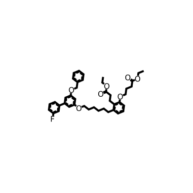 CCOC(=O)CCCOc1cccc(CCCCCCOc2cc(OCc3ccccc3)cc(-c3cccc(F)c3)c2)c1CCC(=O)OCC